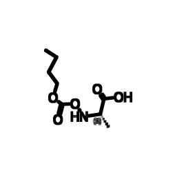 CCCCOC(=O)ON[C@@H](C)C(=O)O